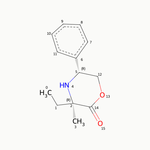 CC[C@@]1(C)N[C@H](c2ccccc2)COC1=O